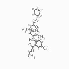 CCOC(=O)c1cc(C)cc(C)c1NC(=O)C[N+](C)(C)CC(=O)OCc1ccccc1